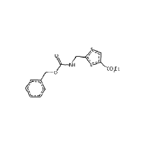 CCOC(=O)c1csc(CNC(=O)OCc2ccccc2)n1